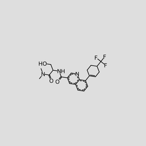 CN(C)C(=O)C(CO)NC(=O)c1cnc2c(C3=CCC(C(F)(F)F)CC3)cccc2c1